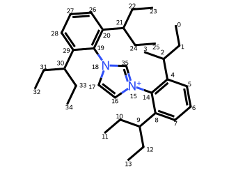 CCC(C)c1cccc(C(CC)CC)c1-[n+]1ccn(-c2c(C(CC)CC)cccc2C(CC)CC)c1